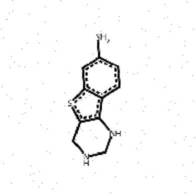 Nc1ccc2c3c(sc2c1)CNCN3